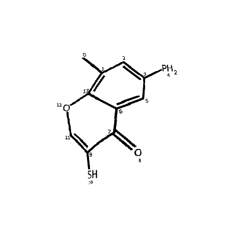 Cc1cc(P)cc2c(=O)c(S)coc12